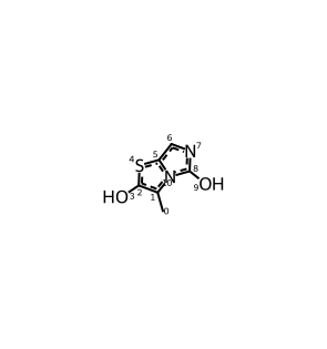 Cc1c(O)sc2cnc(O)n12